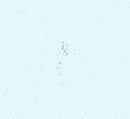 CCC(C)[C@@H](C(=O)O)N(C(=O)CC(O)[C@@H](N)Cc1ccc([N+](=O)[O-])cc1)C(=O)[C@@](N)(Cc1c[nH]cn1)C(=O)COc1ccccc1